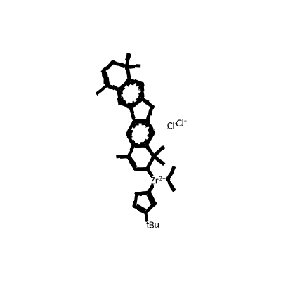 CC1=CCC(C)(C)c2cc3c(cc21)-c1cc2c(cc1C3)C(C)(C)[CH]([Zr+2]([C]1=CC(C(C)(C)C)=CC1)=[C](C)C)C=C2C.[Cl-].[Cl-]